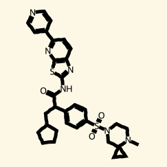 CN1CCN(S(=O)(=O)c2ccc(C(CC3CCCC3)C(=O)Nc3nc4ccc(-c5ccncc5)nc4s3)cc2)CC12CC2